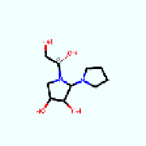 OC[C@H](O)N1CC(O)C(O)C1N1CCCC1